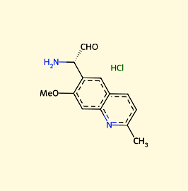 COc1cc2nc(C)ccc2cc1[C@H](N)C=O.Cl